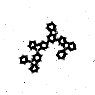 c1ccc(-n2c3ccccc3c3ccc(-c4cc(-c5ccc6c(c5)c5ccccc5n6-c5ccc6c7ccccc7n(-c7ccccc7)c6c5)cc5c4oc4ccccc45)cc32)cc1